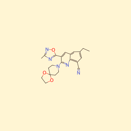 CCc1cc(C#N)c2nc(N3CCC4(CC3)OCCO4)c(-c3nc(C)no3)cc2c1